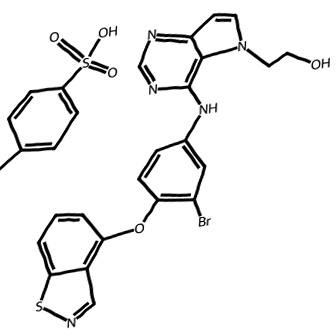 Cc1ccc(S(=O)(=O)O)cc1.OCCn1ccc2ncnc(Nc3ccc(Oc4cccc5sncc45)c(Br)c3)c21